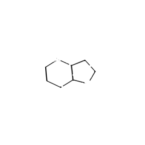 C1CNC2CCOC2C1